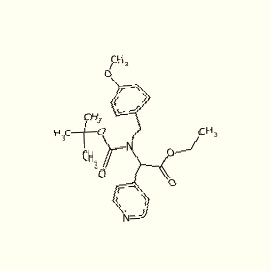 CCOC(=O)C(c1ccncc1)N(Cc1ccc(OC)cc1)C(=O)OC(C)(C)C